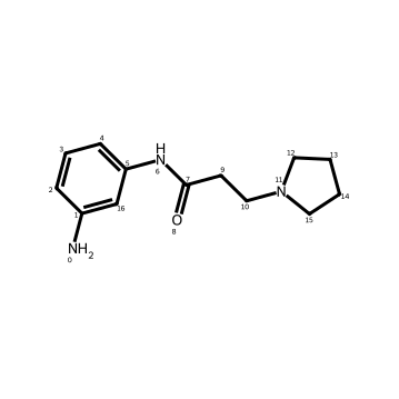 Nc1cccc(NC(=O)CCN2CCCC2)c1